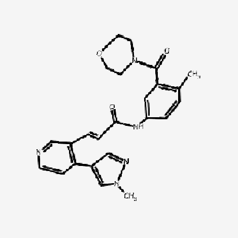 Cc1ccc(NC(=O)C=Cc2cnccc2-c2cnn(C)c2)cc1C(=O)N1CCOCC1